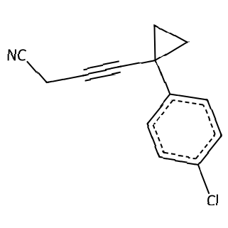 N#CCC#CC1(c2ccc(Cl)cc2)CC1